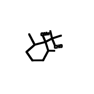 COC1(C(C)(C)C=O)C(C)CCCC1C